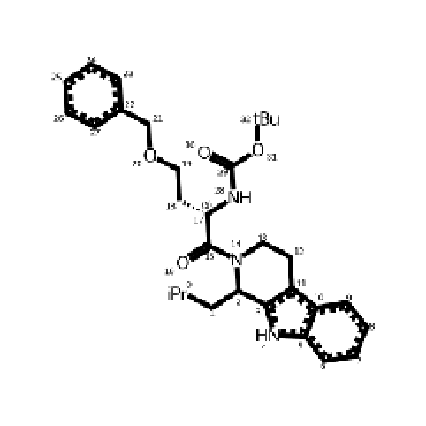 CC(C)CC1c2[nH]c3ccccc3c2CCN1C(=O)[C@H](CCOCc1ccccc1)NC(=O)OC(C)(C)C